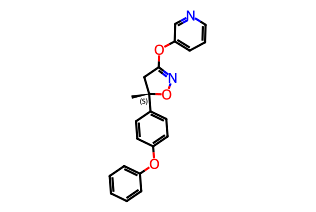 C[C@@]1(c2ccc(Oc3ccccc3)cc2)CC(Oc2cccnc2)=NO1